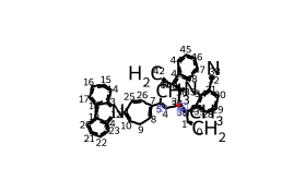 C=C/C(=C\C=C(/C)C1=CCC=C(n2c3ccccc3c3ccccc32)C=C1)c1cccc(C#N)c1-n1c(/C=C\C)c(C=C)c2ccccc21